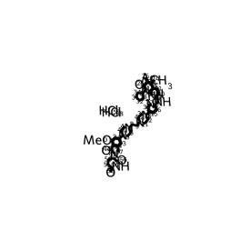 COc1cc(N2CCN(CCN3CCN(c4ccc(Nc5ncc6c(C)c(C(C)=O)c(=O)n(C7CCCC7)c6n5)nc4)CC3)CC2)cc2c1C(=O)N(C1CCC(=O)NC1=O)C2.Cl.Cl